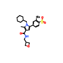 Cc1c(C(=O)NCC2COC2)cc(-c2ccc([SH](=O)=O)c(C(C)(C)C)c2)n1CC1CCCCC1